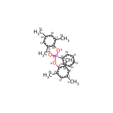 Cc1cc(C)c(OP(=O)(Oc2c(C)cc(C)cc2C)c2ccccc2)c(C)c1